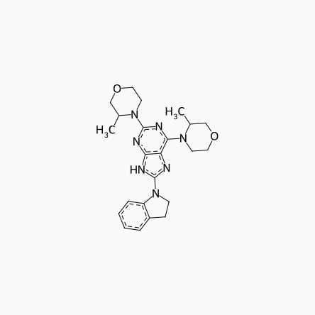 CC1COCCN1c1nc(N2CCOCC2C)c2nc(N3CCc4ccccc43)[nH]c2n1